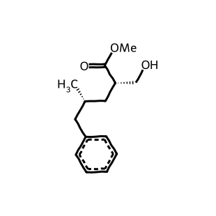 COC(=O)[C@H](CO)C[C@@H](C)Cc1ccccc1